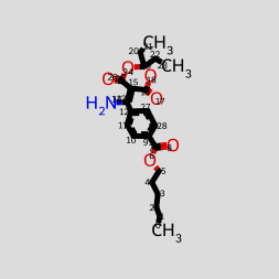 CCCCCCOC(=O)c1ccc(C(N)=C2C(=O)OC(CC)(CC)OC2=O)cc1